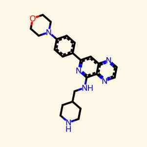 c1cnc2c(NCC3CCNCC3)nc(-c3ccc(N4CCOCC4)cc3)cc2n1